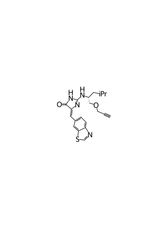 C#CCOC[C@@H](CC(C)C)NC1=N/C(=C\c2ccc3ncsc3c2)C(=O)N1